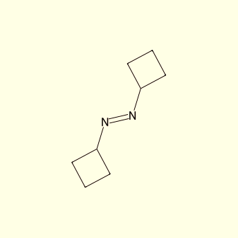 C1CC(N=NC2CCC2)C1